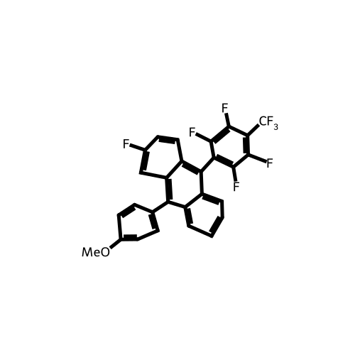 COc1ccc(-c2c3ccccc3c(-c3c(F)c(F)c(C(F)(F)F)c(F)c3F)c3ccc(F)cc23)cc1